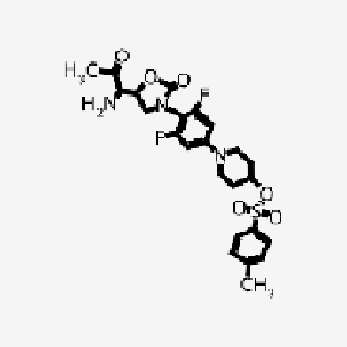 CC(=O)C(N)C1CN(c2c(F)cc(N3CCC(OS(=O)(=O)c4ccc(C)cc4)CC3)cc2F)C(=O)O1